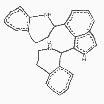 [c]1[nH]c(C2NCCc3ccccc32)c2c(C3CCc4ccccc4N3)cccc12